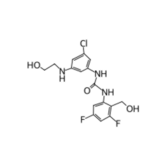 O=C(Nc1cc(Cl)cc(NCCO)c1)Nc1cc(F)cc(F)c1CO